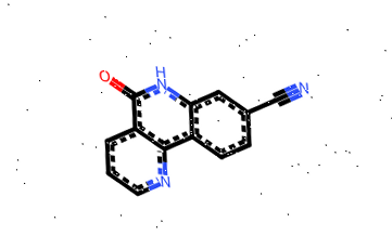 N#Cc1ccc2c(c1)[nH]c(=O)c1cccnc12